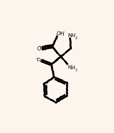 NCC(N)(C(=O)O)C(=O)c1ccccc1